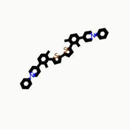 Cc1ccc(-c2cc[n+](-c3ccccc3)cc2)c(C)c1-c1ccc(-c2ccc(-c3c(C)ccc(-c4cc[n+](-c5ccccc5)cc4)c3C)s2)s1